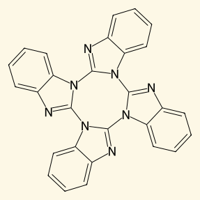 c1ccc2c(c1)nc1n2c2nc3ccccc3n2c2nc3ccccc3n2c2nc3ccccc3n12